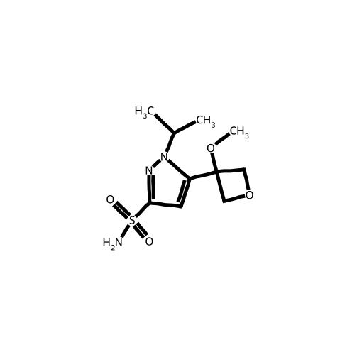 COC1(c2cc(S(N)(=O)=O)nn2C(C)C)COC1